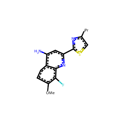 COc1ccc2c(N)cc(-c3nc(C(C)C)cs3)nc2c1F